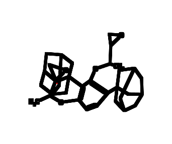 CC(Oc1ccc(C23CC4CC(CC(C4)C2)C3)c(OC(C)C2CO2)c1C12CC3CC(CC(C3)C1)C2)C1CO1